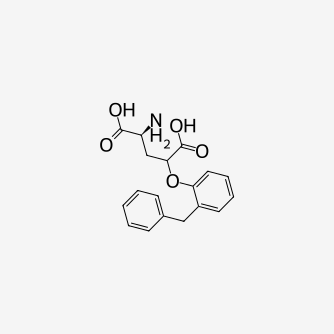 N[C@@H](CC(Oc1ccccc1Cc1ccccc1)C(=O)O)C(=O)O